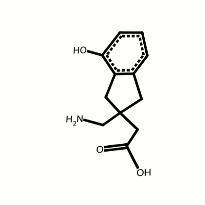 NCC1(CC(=O)O)Cc2cccc(O)c2C1